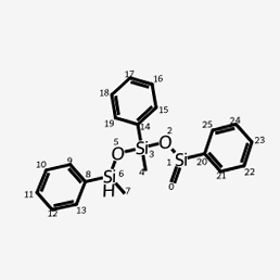 C=[Si](O[Si](C)(O[SiH](C)c1ccccc1)c1ccccc1)c1ccccc1